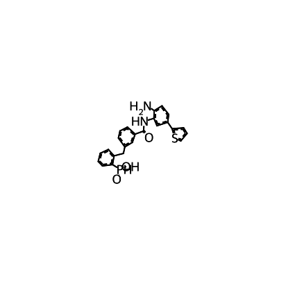 Nc1ccc(-c2cccs2)cc1NC(=O)c1cccc(Cc2ccccc2[PH](=O)O)c1